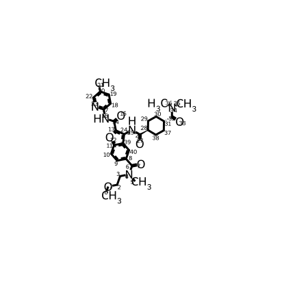 COCCN(C)C(=O)c1ccc2oc(C(=O)Nc3ccc(C)cn3)c(NC(=O)[C@H]3CC[C@H](C(=O)N(C)C)CC3)c2c1